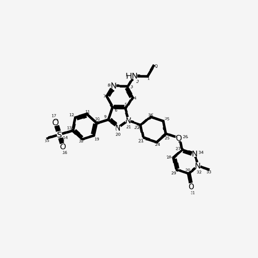 CCNc1cc2c(cn1)c(-c1ccc(S(C)(=O)=O)cc1)nn2C1CCC(Oc2ccc(=O)n(C)n2)CC1